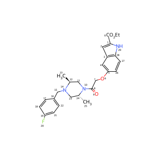 CCOC(=O)c1cc2cc(OCC(=O)N3C[C@H](C)N(Cc4ccc(F)cc4)C[C@H]3C)ccc2[nH]1